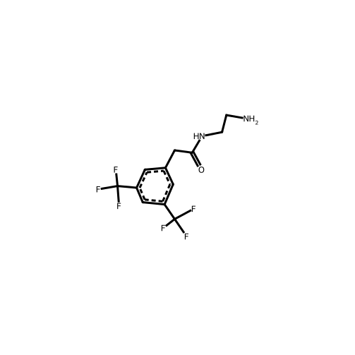 NCCNC(=O)Cc1cc(C(F)(F)F)cc(C(F)(F)F)c1